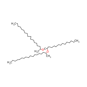 CCCCCCCCCCCC[CH]C(COC(C)CCCCCCCCCCCCCCCC)OC(C)CCCCCCCCCCCCCCCC